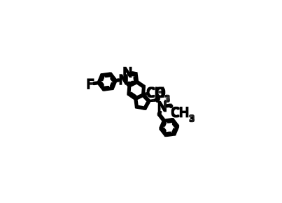 CCN(Cc1ccccc1)C(=O)[C@H]1CCC2=Cc3c(cnn3-c3ccc(F)cc3)C[C@@]21C